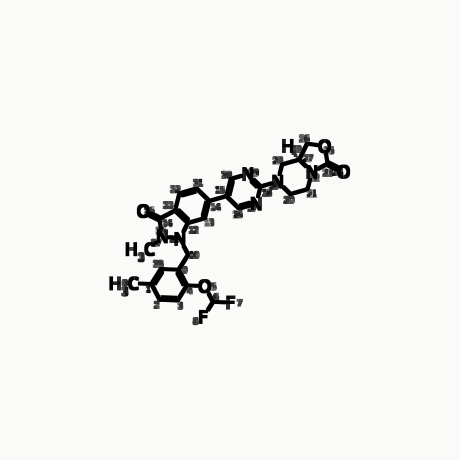 Cc1ccc(OC(F)F)c(Cn2c3cc(-c4cnc(N5CCN6C(=O)OC[C@@H]6C5)nc4)ccc3c(=O)n2C)c1